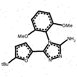 COc1cccc(OC)c1-n1c(N)nnc1-c1ccc(C(C)(C)C)o1